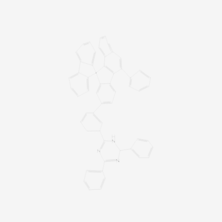 C1=CC(c2ccc3c(c2)C2(c4ccccc4-c4ccccc42)c2c-3c(-c3ccccc3)cc3ccccc23)=CC(C2=NC(c3ccccc3)=NC(c3ccccc3)N2)C1